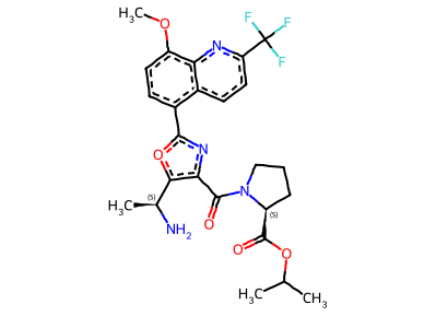 COc1ccc(-c2nc(C(=O)N3CCC[C@H]3C(=O)OC(C)C)c([C@H](C)N)o2)c2ccc(C(F)(F)F)nc12